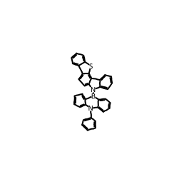 c1ccc(N2c3ccccc3B(n3c4ccccc4c4c5sc6ccccc6c5ccc43)c3ccccc32)cc1